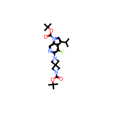 CC(C)c1cn(C(=O)OC(C)(C)C)c2cnc(N3CC4(CN(C(=O)OC(C)(C)C)C4)C3)c(F)c12